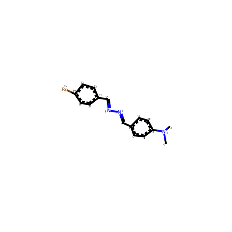 CN(C)c1ccc(/C=N/N=C/c2ccc(Br)cc2)cc1